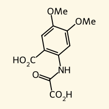 COc1cc(NC(=O)C(=O)O)c(C(=O)O)cc1OC